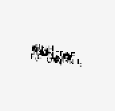 Nc1nc(-n2ncc(C(=O)Nc3cnc(-n4nccn4)c(C(F)(F)F)c3)c2C(F)(F)F)ccc1F